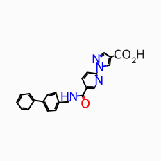 O=C(O)c1cnn(-c2ccc(C(=O)NCc3ccc(-c4ccccc4)cc3)cn2)c1